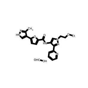 CCOCCn1cc(NC(=O)c2ccc(-c3c[nH]nc3C)o2)c(-c2ccccn2)n1.O=CO